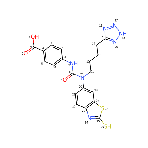 O=C(O)c1ccc(NC(=O)N(CCCCc2nn[nH]n2)c2ccc3nc(S)sc3c2)cc1